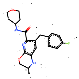 C[C@H]1COc2nc(C(=O)NC3CCOCC3)c(Cc3ccc(F)cc3)cc2N1